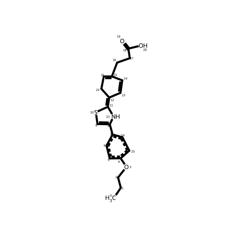 CCCOc1ccc(C2=CSC(=C3C=CC(CCC(=O)O)=CC3)N2)cc1